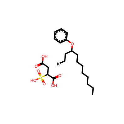 CCCCCCCCC(C[CH2][K])Oc1ccccc1.O=C(O)CC(C(=O)O)S(=O)(=O)O